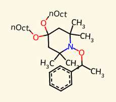 CCCCCCCCOC1(OCCCCCCCC)CC(C)(C)N(OC(C)c2ccccc2)C(C)(C)C1